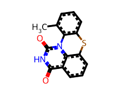 Cc1cccc2c1-n1c(=O)[nH]c(=O)c3cccc(c31)S2